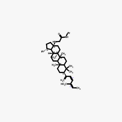 C=C(/C=C\C(=C/C)C(=O)O)[C@H]1CC[C@@]2(C)C(CC[C@]3(C)C2CC[C@@H]2C4[C@H](C(C)C)CC[C@]4(NCC(=O)NC(C)C)CC[C@]23C)C1(C)C